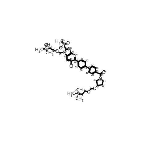 C[Si](C)(C)CCOCO[C@@H]1CCN(C(=O)c2ccc(-c3ccc(-c4nc5nc(S(C)(=O)=O)n(COCC[Si](C)(C)C)c5cc4Cl)cc3)cc2)C1